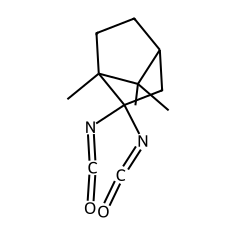 CC1(C)C2CCC1(C)C(N=C=O)(N=C=O)C2